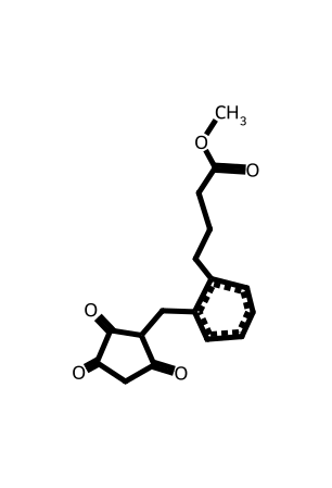 COC(=O)CCCc1ccccc1CC1C(=O)CC(=O)C1=O